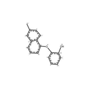 Cc1ccc2c(Oc3ccccc3O)cccc2c1